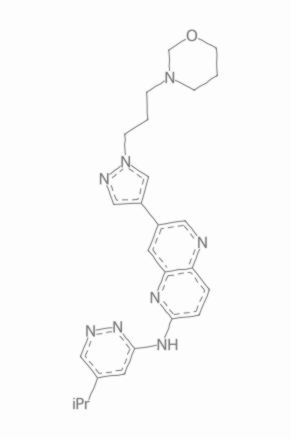 CC(C)c1cnnc(Nc2ccc3ncc(-c4cnn(CCCN5CCCOC5)c4)cc3n2)c1